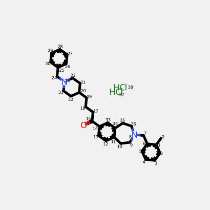 Cc1ccccc1CN1CCc2ccc(C(=O)CCCC3CCN(Cc4ccccc4)CC3)cc2CC1.Cl.Cl